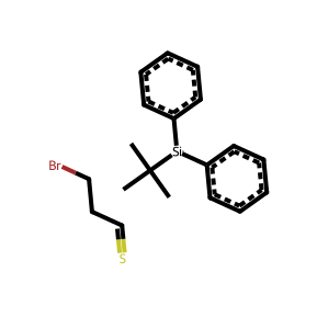 CC(C)(C)[Si](c1ccccc1)c1ccccc1.S=CCCBr